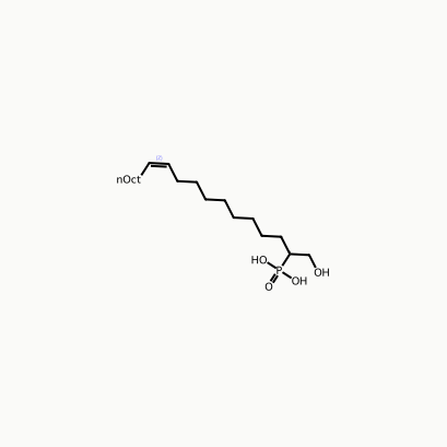 CCCCCCCC/C=C\CCCCCCCC[C](CO)P(=O)(O)O